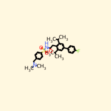 CC(C)c1cc(-c2ccc(F)cc2)cc(C(C)C)c1CC(=O)NS(=O)(=O)c1ccc(CN(C)C)cc1